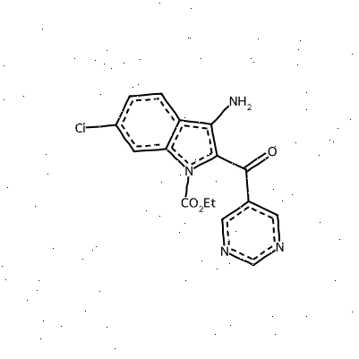 CCOC(=O)n1c(C(=O)c2cncnc2)c(N)c2ccc(Cl)cc21